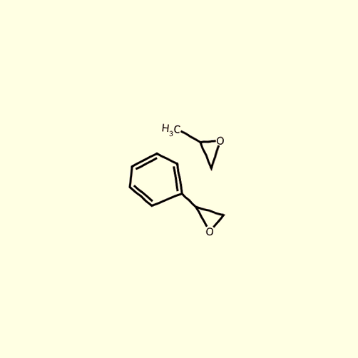 CC1CO1.c1ccc(C2CO2)cc1